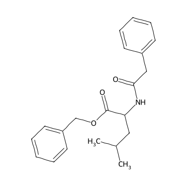 CC(C)CC(NC(=O)Cc1ccccc1)C(=O)OCc1ccccc1